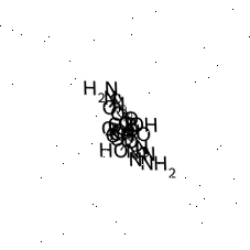 Nc1ccn([C@H]2C[C@@H](OP(=O)(O)OCC3OC(n4cnc5c(N)ncnc54)C(O)C3OC=O)C(COP(=O)(O)O)O2)c(=O)n1